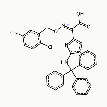 O=C(O)/C(=N/OCc1cc(Cl)ccc1Cl)c1csc(NC(c2ccccc2)(c2ccccc2)c2ccccc2)n1